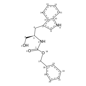 O=C(N[C@@H](CO)Cc1c[nH]c2ccccc12)OCc1ccccc1